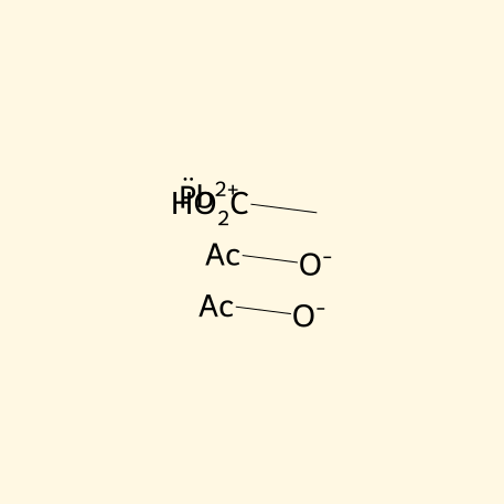 CC(=O)O.CC(=O)[O-].CC(=O)[O-].[Pb+2]